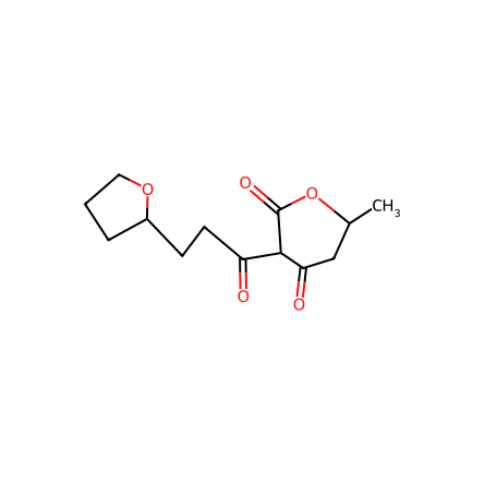 CC1CC(=O)C(C(=O)CCC2CCCO2)C(=O)O1